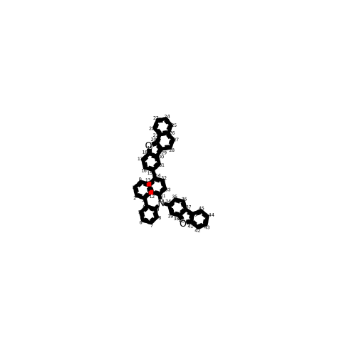 c1ccc(-c2ccccc2N(c2ccc(-c3ccc4oc5c6ccccc6ccc5c4c3)cc2)c2ccc3c(c2)oc2ccccc23)cc1